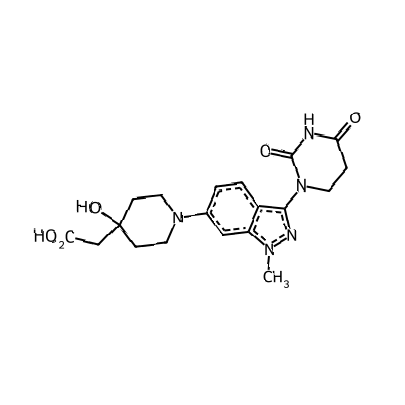 Cn1nc(N2CCC(=O)NC2=O)c2ccc(N3CCC(O)(CC(=O)O)CC3)cc21